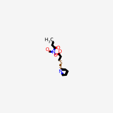 CCCC(=O)N(C=O)OC(=O)CCSSc1ccccn1